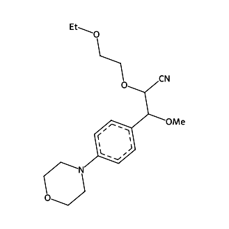 CCOCCOC(C#N)C(OC)c1ccc(N2CCOCC2)cc1